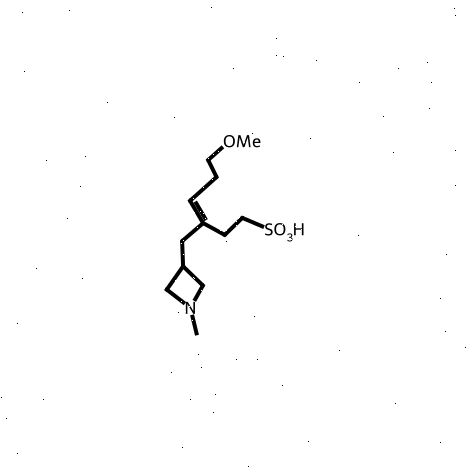 COCC/C=C(\CCS(=O)(=O)O)CC1CN(C)C1